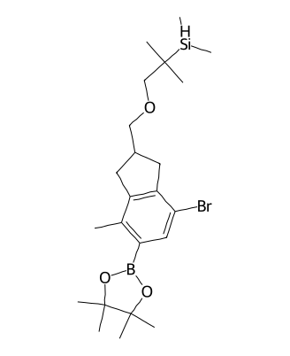 Cc1c(B2OC(C)(C)C(C)(C)O2)cc(Br)c2c1CC(COCC(C)(C)[SiH](C)C)C2